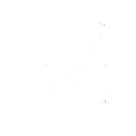 COCC(=O)OC1(c2ccccc2)CCNCC1